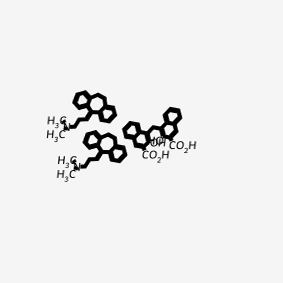 CN(C)CCC=C1c2ccccc2CCc2ccccc21.CN(C)CCC=C1c2ccccc2CCc2ccccc21.O=C(O)c1cc2ccccc2c(Cc2c(O)c(C(=O)O)cc3ccccc23)c1O